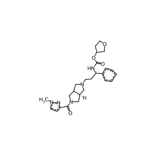 Cn1ccc(C(=O)N2CC3CN(CCC(NC(=O)OC4CCOC4)c4ccccc4)C[C@H]3C2)n1